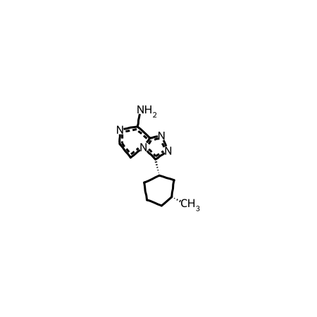 C[C@@H]1CCC[C@H](c2nnc3c(N)nccn23)C1